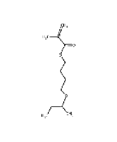 C=C(C)C(=O)OCCCCOC(C)CC